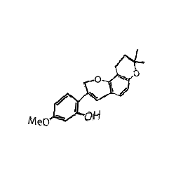 COc1ccc(C2=Cc3ccc4c(c3OC2)CCC(C)(C)O4)c(O)c1